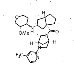 CO[C@@H]1COCC[C@H]1N[C@@H]1C[C@H]2CCC[C@@]2(C(=O)N2C[C@H]3C[C@@H]2CN3c2cc(C(F)(F)F)ccn2)C1